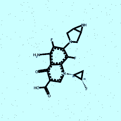 Nc1c(F)c(N2CC3NC3C2)c(F)c2c1c(=O)c(C(=O)O)cn2[C@@H]1C[C@@H]1F